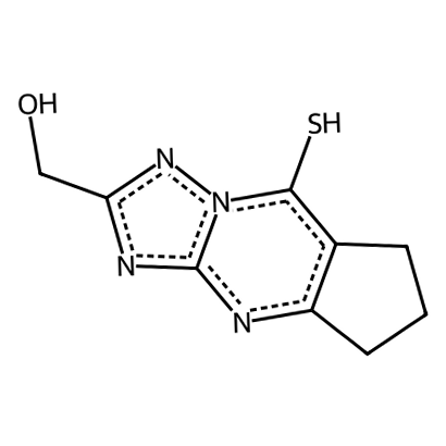 OCc1nc2nc3c(c(S)n2n1)CCC3